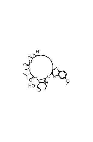 CC[C@@H]1[C@@H]2CN(C(=O)[C@H](C(C)C)NC(=O)O[C@@H]3C[C@H]3CCCCCc3nc4ccc(OC)cc4nc3O2)[C@@H]1C(=O)O